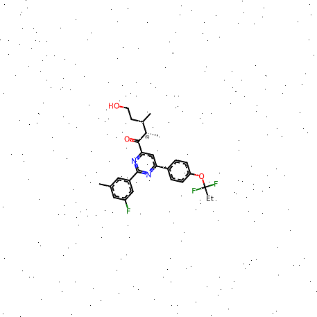 CCC(F)(F)Oc1ccc(-c2cc(C(=O)[C@@H](C)C(C)CCO)nc(-c3cc(C)cc(F)c3)n2)cc1